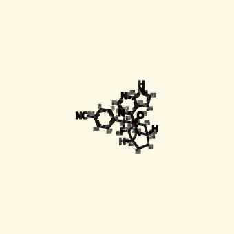 N#Cc1ccc(C(F)(F)C(=O)N2[C@@H]3CC[C@H]2CN(c2ncnc4[nH]ccc24)C3)cc1